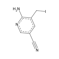 N#Cc1cnc(N)c(CI)c1